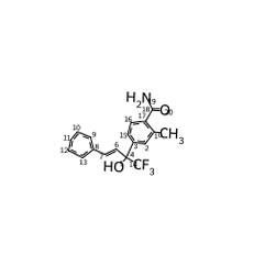 Cc1cc(C(O)(C=Cc2ccccc2)C(F)(F)F)ccc1C(N)=O